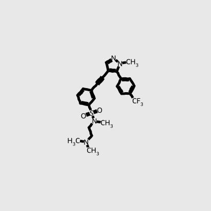 CN(C)CCN(C)S(=O)(=O)c1cccc(C#Cc2cnn(C)c2-c2ccc(C(F)(F)F)cc2)c1